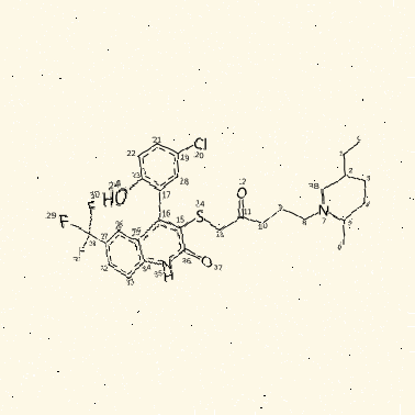 CCC1CCC(C)N(CCCC(=O)CSc2c(-c3cc(Cl)ccc3O)c3cc(C(F)(F)F)ccc3[nH]c2=O)C1